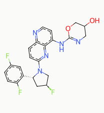 OC1CN=C(Nc2ccnc3ccc(N4C[C@@H](F)C[C@@H]4c4cc(F)ccc4F)nc23)OC1